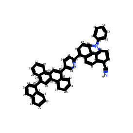 N#Cc1ccc2c3c1ccc1c(-c4ccc(-c5cc6c7ccccc7c(-c7cccc8ccccc78)cc6c6ccccc56)cn4)ccc(c13)n2-c1ccccc1